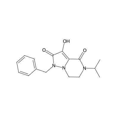 CC(C)N1CCn2c(c(O)c(=O)n2Cc2ccccc2)C1=O